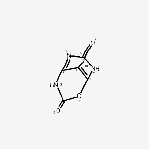 O=C1Nc2nc(=O)[nH]c(c2F)O1